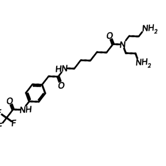 NCCN(CCN)C(=O)CCCCCNC(=O)Cc1ccc(NC(=O)C(F)(F)F)cc1